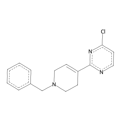 Clc1ccnc(C2=CCN(Cc3ccccc3)CC2)n1